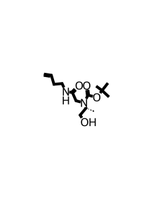 C=CCCNC(=O)CN(C(=O)OC(C)(C)C)[C@H](C)CO